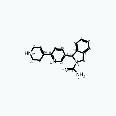 NC(=O)N1Cc2ccccc2C1c1ccc(C2=CCNCC2)nc1